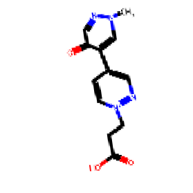 Cn1cc(-c2cc[n+](CCC(=O)O)nc2)c(=O)cn1